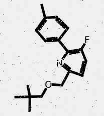 Cc1ccc(-c2nc(COCC(C)(C)C)ccc2F)cc1